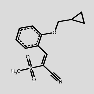 CS(=O)(=O)C(C#N)=Cc1ccccc1OCC1CC1